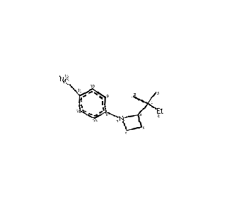 CCC(C)(C)C1CCN1c1ccc(C#N)cc1